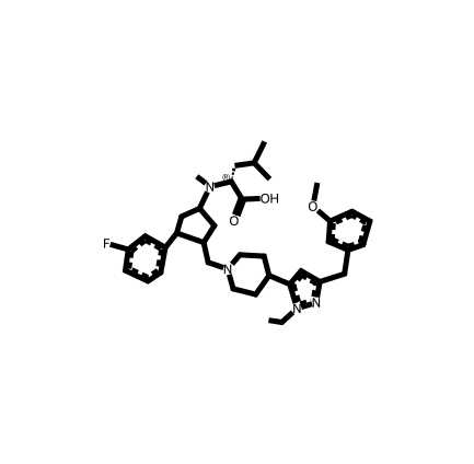 CCn1nc(Cc2cccc(OC)c2)cc1C1CCN(CC2CC(N(C)[C@H](CC(C)C)C(=O)O)CC2c2cccc(F)c2)CC1